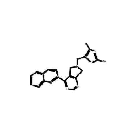 CCc1nc(C)c(CN2Cc3ncnc(-c4ccc5ccccc5n4)c3C2)s1